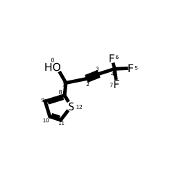 OC(C#CC(F)(F)F)c1cccs1